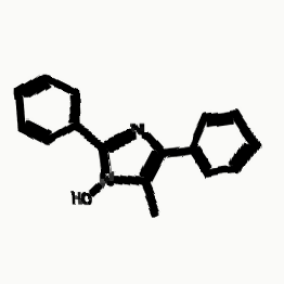 Cc1c(-c2ccccc2)nc(-c2ccccc2)n1O